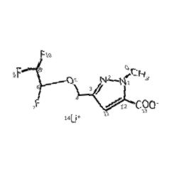 Cn1nc(COC(F)C(F)F)cc1C(=O)[O-].[Li+]